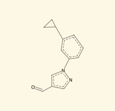 O=Cc1cnn(-c2cccc(C3CC3)c2)c1